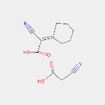 N#CC(C(=O)O)=C1CCCCC1.N#CCC(=O)O